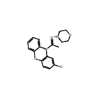 C1COCCN1.CC(=O)N1c2ccccc2Oc2ccc(Cl)cc21